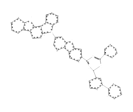 c1ccc(C2=NC(c3ccc4c(c3)oc3cc(-n5c6ccccc6c6c7oc8ccccc8c7ccc65)ccc34)=NC(c3cccc(-c4ccccc4)c3)N2)cc1